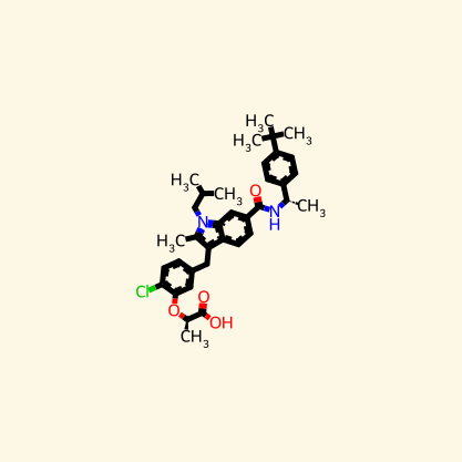 Cc1c(Cc2ccc(Cl)c(O[C@H](C)C(=O)O)c2)c2ccc(C(=O)N[C@@H](C)c3ccc(C(C)(C)C)cc3)cc2n1CC(C)C